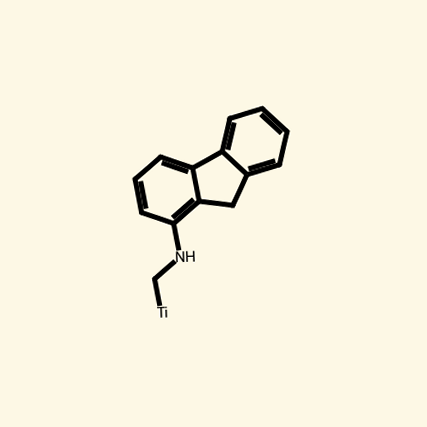 [Ti][CH2]Nc1cccc2c1Cc1ccccc1-2